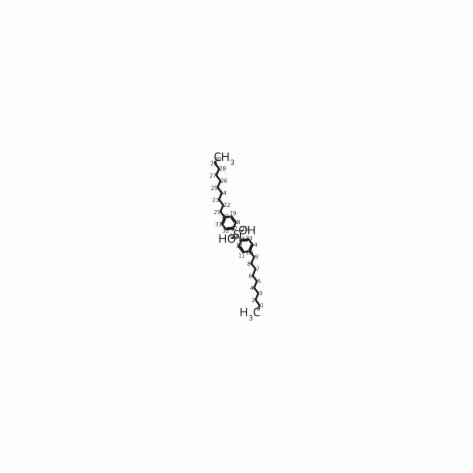 CCCCCCCCCCc1ccc([Si](O)(O)c2ccc(CCCCCCCCCC)cc2)cc1